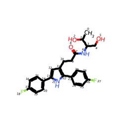 CC(O)C(CO)NC(=O)CCc1cc(-c2ccc(F)cc2)[nH]c1-c1ccc(F)cc1